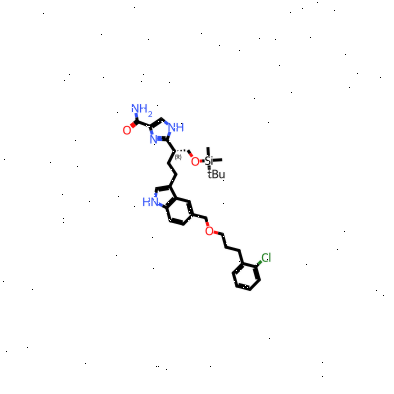 CC(C)(C)[Si](C)(C)OC[C@H](CCc1c[nH]c2ccc(COCCCc3ccccc3Cl)cc12)c1nc(C(N)=O)c[nH]1